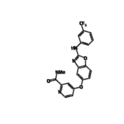 CNC(=O)c1cc(Oc2ccc3oc(Nc4cccc(C(F)(F)F)c4)nc3c2)ccn1